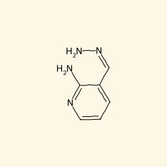 N/N=C\c1cccnc1N